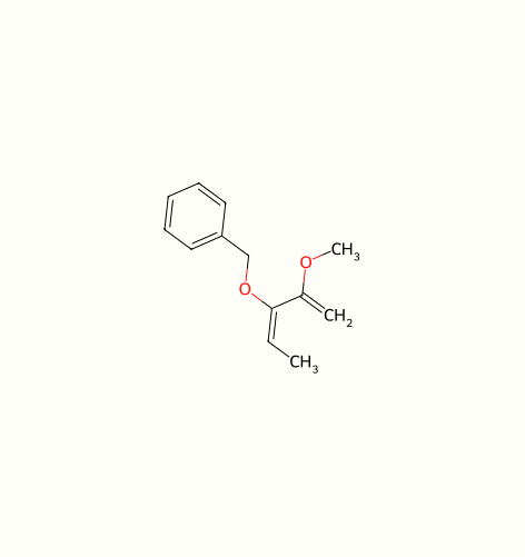 C=C(OC)/C(=C\C)OCc1ccccc1